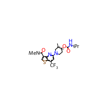 CNC(=O)c1csc2c(C(F)(F)F)cc(N3CC[C@H](OC(=O)NC(C)C)[C@H](C)C3)nc12